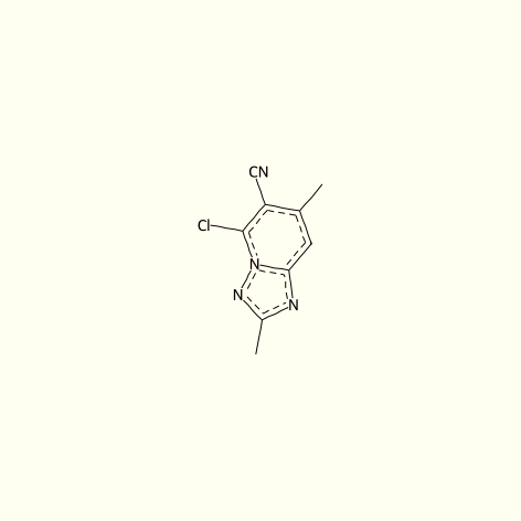 Cc1nc2cc(C)c(C#N)c(Cl)n2n1